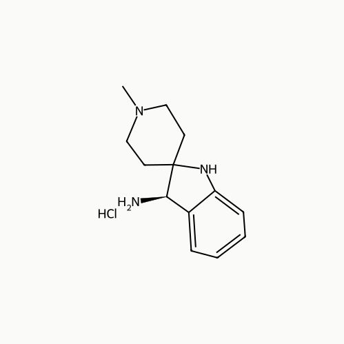 CN1CCC2(CC1)Nc1ccccc1[C@H]2N.Cl